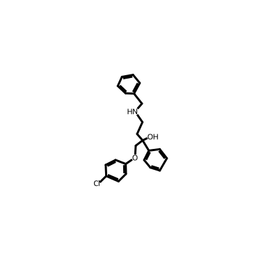 OC(CCNCc1ccccc1)(COc1ccc(Cl)cc1)c1ccccc1